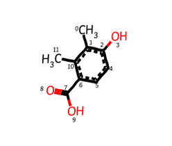 Cc1c(O)ccc(C(=O)O)c1C